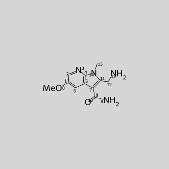 COc1cnc2c(c1)c(C(N)=O)c(CN)n2C